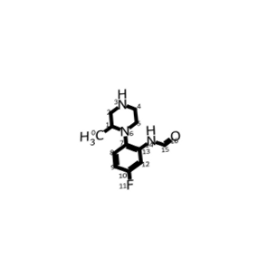 CC1CNCCN1c1ccc(F)cc1NC=O